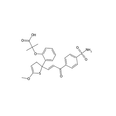 COC1=CCC(C=CC(=O)c2ccc(S(N)(=O)=O)cc2)(c2ccccc2OC(C)(C)C(=O)O)S1